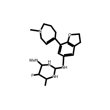 CNC1NC(Nc2cc3c(c(C4=CCN(C)CCC4)c2)OCC3)NC(C)C1F